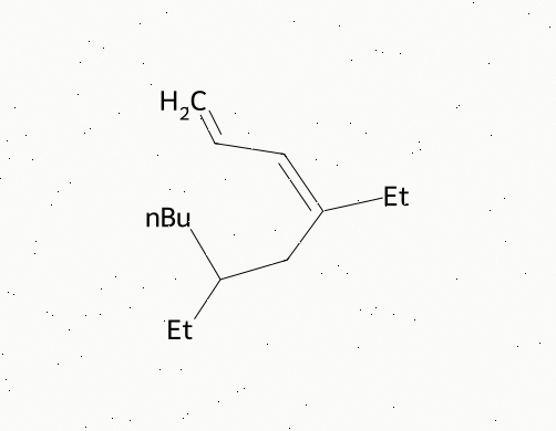 C=CC=C(CC)CC(CC)CCCC